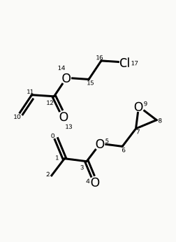 C=C(C)C(=O)OCC1CO1.C=CC(=O)OCCCl